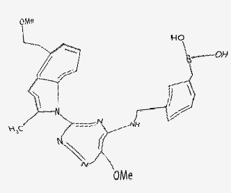 COCc1cccc2c1cc(C)n2-c1nnc(OC)c(NCc2cccc(B(O)O)c2)n1